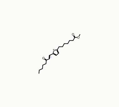 CCCCCC(=O)/C=C/c1ccc(CCCCCCC(=O)OC)s1